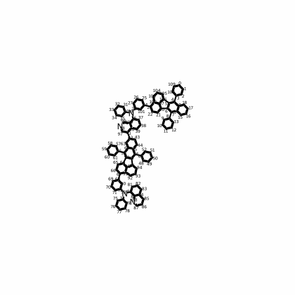 c1ccc(-c2c3c(c(-c4ccccc4)c4ccccc24)-c2ccc(-c4cccc(N(c5ccccc5)c5cccc6c(-c7ccc8c(-c9ccccc9)c9c(c(-c%10ccccc%10)c8c7)-c7ccc(-c8cccc(N(c%10ccccc%10)c%10cccc%11cccnc%10%11)c8)c8cccc-9c78)cncc56)c4)c4cccc-3c24)cc1